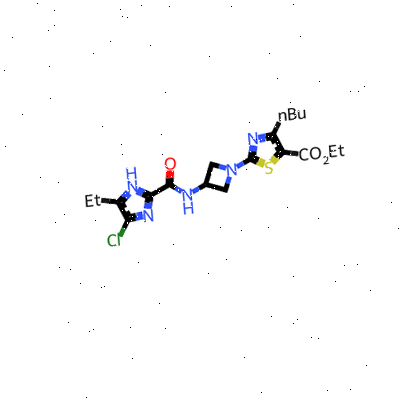 CCCCc1nc(N2CC(NC(=O)c3nc(Cl)c(CC)[nH]3)C2)sc1C(=O)OCC